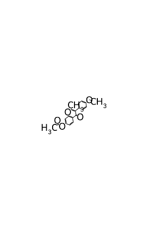 COc1ccc(-c2c(C)oc3cc(OC(C)=O)ccc3c2=O)cc1